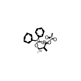 C=C(COS(C)(=O)=O)[C@H](C)O[Si](c1ccccc1)(c1ccccc1)C(C)(C)C